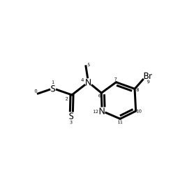 CSC(=S)N(C)c1cc(Br)ccn1